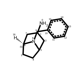 NC1CC2CC[C@@H](C1)N2Cc1ccccc1